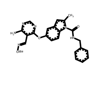 CON=Cc1c(N)ncnc1Oc1ccc2c(c1)cc(C)n2C(=O)NCc1ccccc1